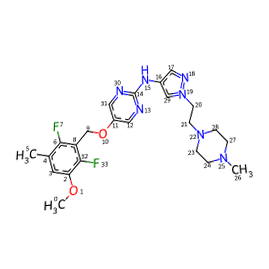 COc1cc(C)c(F)c(COc2cnc(Nc3cnn(CCN4CCN(C)CC4)c3)nc2)c1F